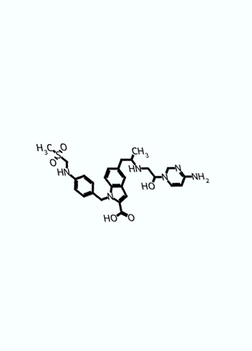 CC(Cc1ccc2c(c1)cc(C(=O)O)n2Cc1ccc(NCS(C)(=O)=O)cc1)NCC(O)N1C=CC(N)=NC1